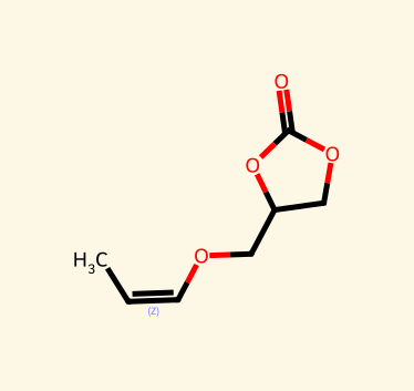 C/C=C\OCC1COC(=O)O1